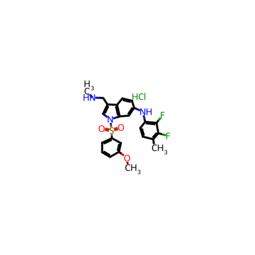 CNCc1cn(S(=O)(=O)c2cccc(OC)c2)c2cc(Nc3ccc(C)c(F)c3F)ccc12.Cl